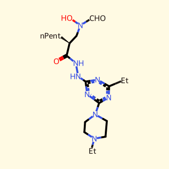 CCCCC[C@@H](CN(O)C=O)C(=O)NNc1nc(CC)nc(N2CCN(CC)CC2)n1